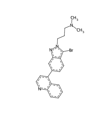 CN(C)CCCn1nc2cc(-c3ccnc4ccccc34)ccc2c1Br